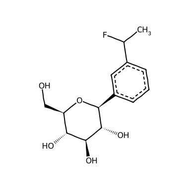 CC(F)c1cccc([C@@H]2O[C@H](CO)[C@@H](O)[C@H](O)[C@H]2O)c1